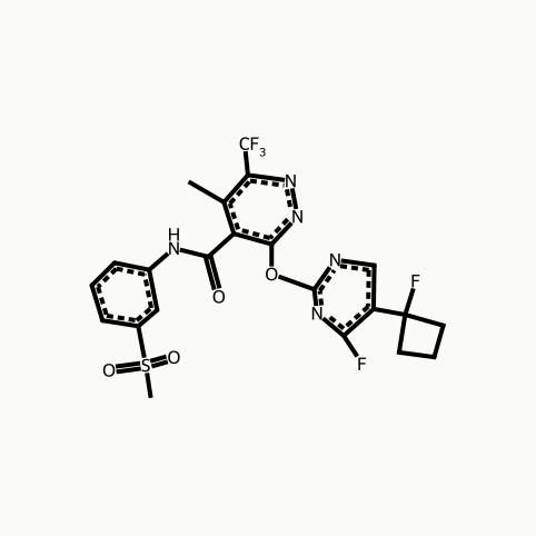 Cc1c(C(F)(F)F)nnc(Oc2ncc(C3(F)CCC3)c(F)n2)c1C(=O)Nc1cccc(S(C)(=O)=O)c1